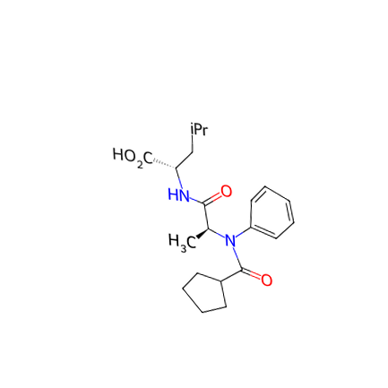 CC(C)C[C@H](NC(=O)[C@H](C)N(C(=O)C1CCCC1)c1ccccc1)C(=O)O